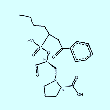 CCCCC(CC(=O)c1ccccc1)P(=O)(O)O[C@H](C=O)CN1CCC[C@H]1C(=O)O